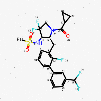 CCS(=O)(=O)N[C@@H]1[C@H](Cc2cccc(-c3cccc(C(F)F)c3)c2F)N(C(=O)C2CC2)CC1(F)F